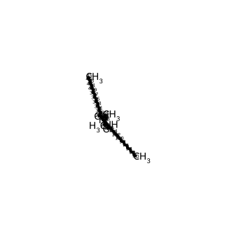 CCCCCCCCCCCCCCCCCC(=O)NC(C)C1CN(C)C(C(=O)CCCCCCCCCCCCCCCCC)=N1